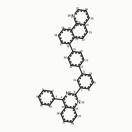 c1ccc(-c2nc(-c3cccc(-c4ccc(-c5cccc6c5ccc5cccnc56)cc4)c3)nc3ccccc23)cc1